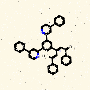 C=C(/C=C(\C=C(/C)c1ccccc1)c1cc(-c2cc(-c3ccccc3)ccn2)cc(-c2cc(-c3ccccc3)ccn2)c1)c1ccccc1